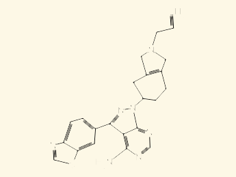 C=CCN1CC2=C(CC(n3nc(-c4ccc5ncsc5c4)c4c(N)ncnc43)CC2)C1